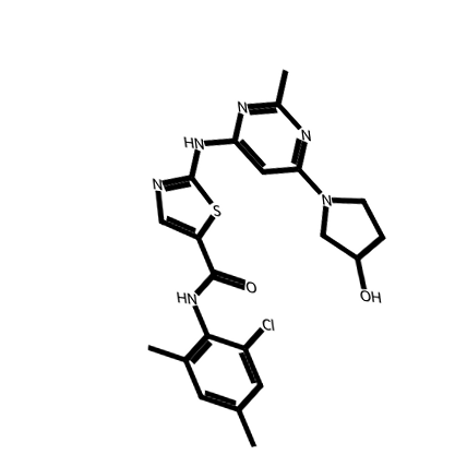 Cc1cc(C)c(NC(=O)c2cnc(Nc3cc(N4CCC(O)C4)nc(C)n3)s2)c(Cl)c1